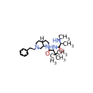 CN[C@@H](C)C(=O)N[C@H](C(=O)N1CC[C@H]2CCN(CCc3ccccc3)CC21)C(C)(C)C